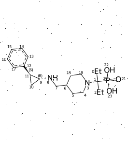 CCC(CC)(N1CCC(CN[C@@H]2C[C@H]2c2ccccc2)CC1)P(=O)(O)O